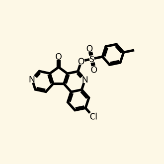 Cc1ccc(S(=O)(=O)Oc2nc3cc(Cl)ccc3c3c2C(=O)c2cnccc2-3)cc1